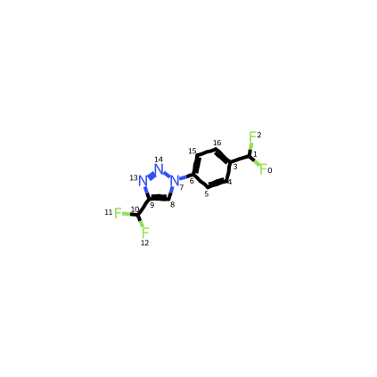 FC(F)c1ccc(-n2cc(C(F)F)nn2)cc1